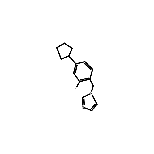 Fc1cc(C2CCCC2)ccc1Cn1ccnc1